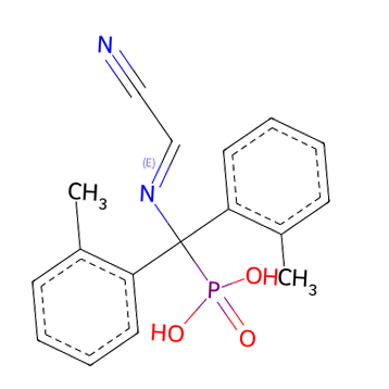 Cc1ccccc1C(/N=C/C#N)(c1ccccc1C)P(=O)(O)O